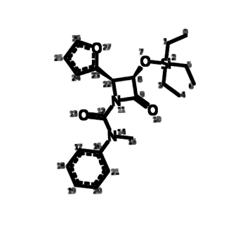 CC[Si](CC)(CC)O[C@H]1C(=O)N(C(=O)N(C)c2ccccc2)[C@H]1c1ccco1